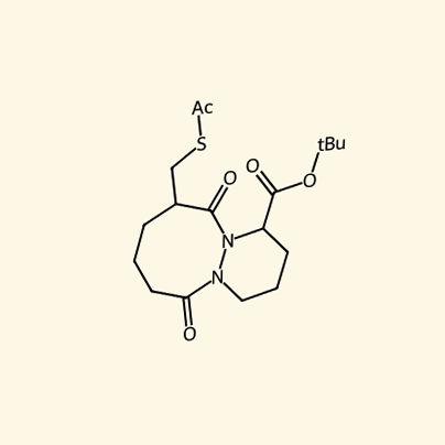 CC(=O)SCC1CCCC(=O)N2CCCC(C(=O)OC(C)(C)C)N2C1=O